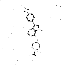 Cn1cc(-c2ccc(S(C)(=O)=O)cc2)c2ncnc(OC3CCN(C(=O)C(C)(C)C)CC3)c21